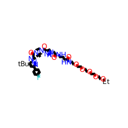 CCOCCOCCOCCOCCOCCNC(=O)CCCNC(=O)Cn1cc(C(=O)N2CCN(C(=O)c3cn4nc(-c5ccc(F)cc5)cc(C(C)(C)C)c4n3)C(C)(C)C2)nn1